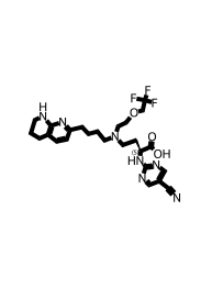 N#Cc1cnc(N[C@@H](CCN(CCCCc2ccc3c(n2)NCCC3)CCOCC(F)(F)F)C(=O)O)nc1